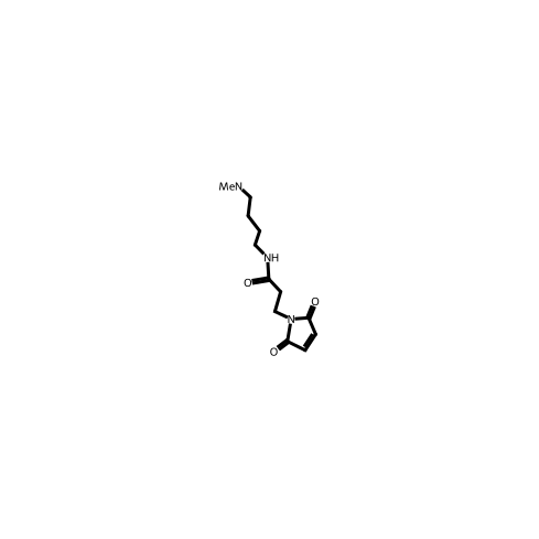 CNCCCCNC(=O)CCN1C(=O)C=CC1=O